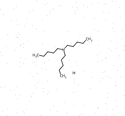 CCCCCN(CCCCC)CCCCC.[H]